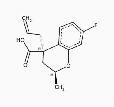 C=CC[C@@]1(C(=O)O)C[C@H](C)Oc2cc(F)ccc21